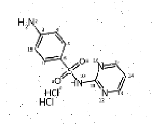 Cl.Cl.Nc1ccc(S(=O)(=O)Nc2ncccn2)cc1